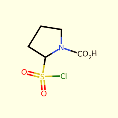 O=C(O)N1CCCC1S(=O)(=O)Cl